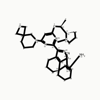 C[C@H](Oc1cc(N2CCCC3(COC3)C2)nc(-c2noc3c2CCC[C@@]32CCCc3sc(N)c(C#N)c32)n1)[C@@H]1CCCN1C